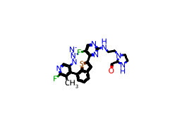 Cc1c(F)ncc(N=[N+]=[N-])c1-c1cccc2cc(-c3nc(NCCN4CCNC4C=O)ncc3F)sc12